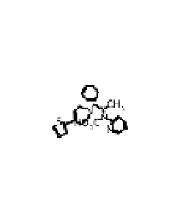 C1=CCCCC1.C[C@H](CN1CC=C(c2cccs2)CC1)N(C(=O)O)c1ccccn1